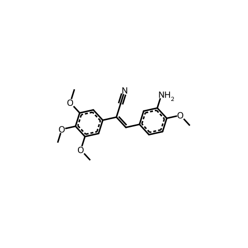 COc1ccc(C=C(C#N)c2cc(OC)c(OC)c(OC)c2)cc1N